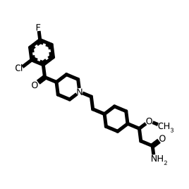 COC(CC(N)=O)C1CCC(CCN2CCC(C(=O)c3ccc(F)cc3Cl)CC2)CC1